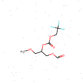 COCC(COC=O)OC(=O)OCC(F)(F)F